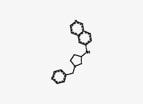 c1cc(CN2CCC(Nc3ccc4cnccc4c3)C2)ccn1